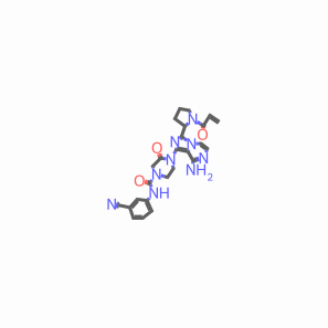 C=CC(=O)N1CCCC1c1nc(N2CCN(C(=O)Nc3cccc(C#N)c3)CC2=O)c2c(N)nccn12